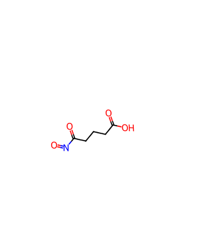 O=NC(=O)CCCC(=O)O